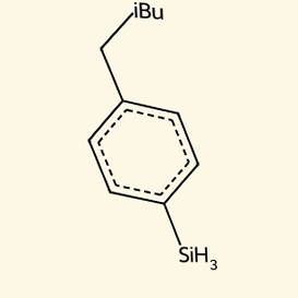 CCC(C)Cc1ccc([SiH3])cc1